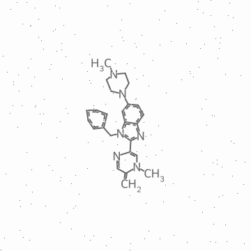 C=C1C=NC(c2nc3ccc(N4CCN(C)CC4)cc3n2Cc2ccccc2)=CN1C